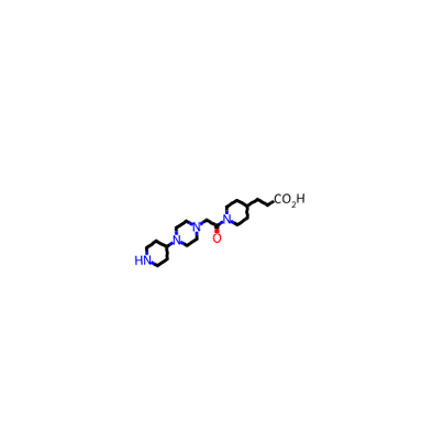 O=C(O)CCC1CCN(C(=O)CN2CCN(C3CCNCC3)CC2)CC1